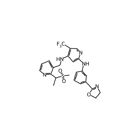 CC(c1ncccc1CNc1cc(Nc2cccc(C3=NCCO3)c2)ncc1C(F)(F)F)S(C)(=O)=O